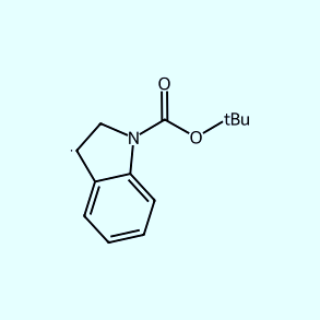 CC(C)(C)OC(=O)N1C[CH]c2ccccc21